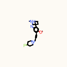 CNC1=Nc2cc(C#CCN3CCC(F)CC3)c(OC)cc2C12CCC2